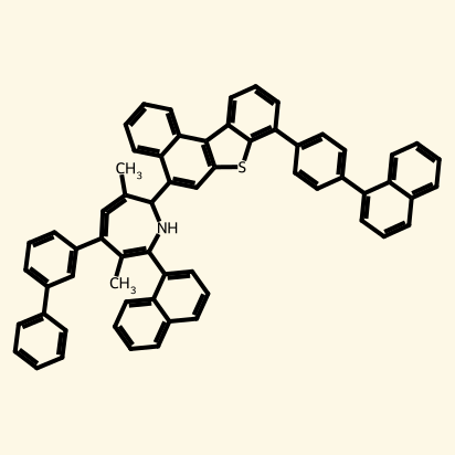 CC1=C=C(c2cccc(-c3ccccc3)c2)C(C)=C(c2cccc3ccccc23)NC1c1cc2sc3c(-c4ccc(-c5cccc6ccccc56)cc4)cccc3c2c2ccccc12